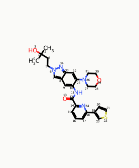 CC(C)(O)CCn1cc2cc(NC(=O)c3cccc(-c4ccsc4)n3)c(N3CCOCC3)cc2n1